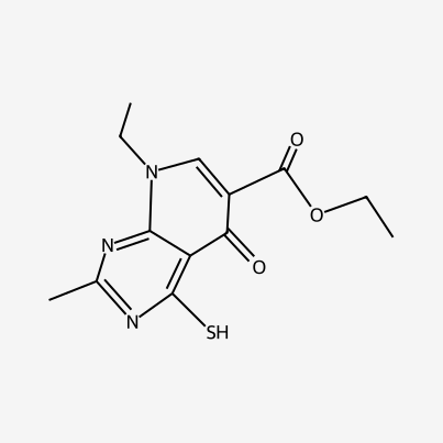 CCOC(=O)c1cn(CC)c2nc(C)nc(S)c2c1=O